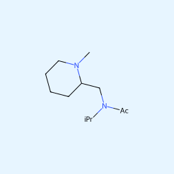 CC(=O)N(CC1CCCCN1C)C(C)C